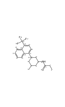 CCC(=O)NC1CC(C)CN(c2ccc(C(F)(F)F)c3ncccc23)C1